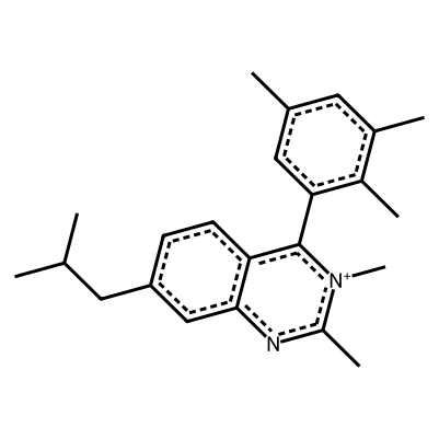 Cc1cc(C)c(C)c(-c2c3ccc(CC(C)C)cc3nc(C)[n+]2C)c1